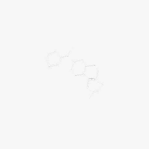 CC(c1ccccc1)N1CCN2c3cc(F)ccc3CCC2C1